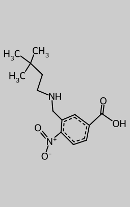 CC(C)(C)CCNCc1cc(C(=O)O)ccc1[N+](=O)[O-]